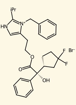 CC(C)c1[nH]cc(CCOC(=O)[C@](O)(c2ccccc2)[C@@H]2CCC(F)(F)C2)[n+]1Cc1ccccc1.[Br-]